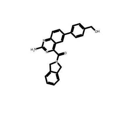 Nc1nc(C(=O)N2Cc3ccccc3C2)c2cc(-c3ccc(CO)cc3)ccc2n1